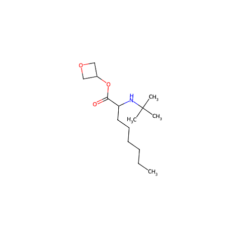 CCCCCCC(NC(C)(C)C)C(=O)OC1COC1